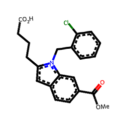 COC(=O)c1ccc2cc(CCCC(=O)O)n(Cc3ccccc3Cl)c2c1